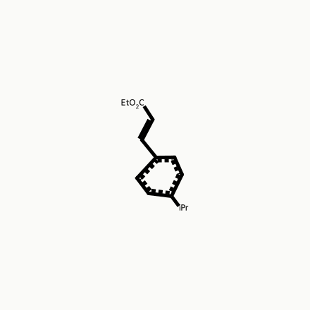 CCOC(=O)C=Cc1ccc(C(C)C)cc1